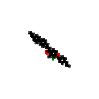 CCCC1CCC(COc2ccc(C(=O)CCCC3CCC(C4CCC(CCC)CC4)CC3)c(C)c2F)CC1